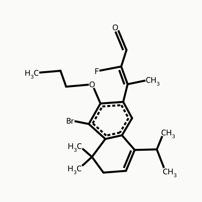 CCCOc1c(C(C)=C(F)C=O)cc2c(c1Br)C(C)(C)CC=C2C(C)C